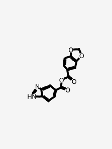 O=C(OC(=O)c1ccc2[nH]cnc2c1)c1ccc2c(c1)OCO2